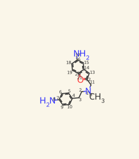 CN(CCc1ccc(N)cc1)Cc1cc2cc(N)ccc2o1